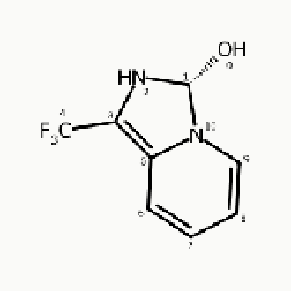 O[C@H]1NC(C(F)(F)F)=C2C=CC=CN21